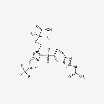 CC(=O)Nc1nc2ccc(S(=O)(=O)n3c(COC(C)(C)C(=O)O)cc4cc(C(F)(F)F)ccc43)cc2s1